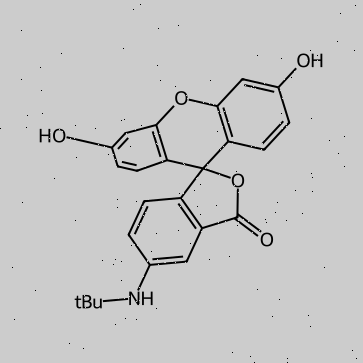 CC(C)(C)Nc1ccc2c(c1)C(=O)OC21c2ccc(O)cc2Oc2cc(O)ccc21